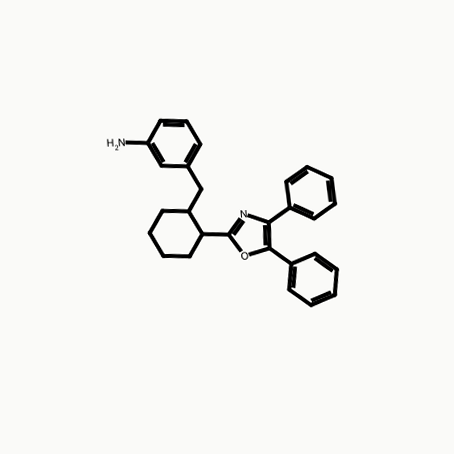 Nc1cccc(CC2CCCCC2c2nc(-c3ccccc3)c(-c3ccccc3)o2)c1